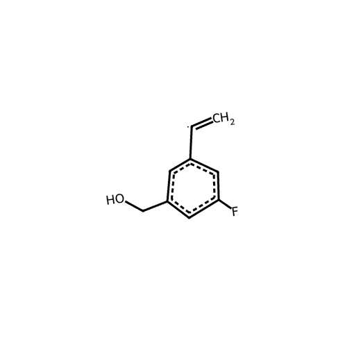 C=[C]c1cc(F)cc(CO)c1